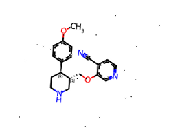 COc1ccc([C@@H]2CCNC[C@H]2COc2cnccc2C#N)cc1